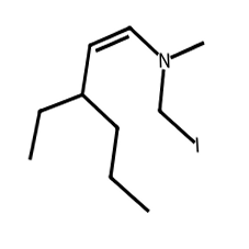 CCCC(/C=C\N(C)CI)CC